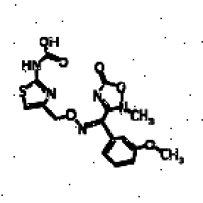 COc1cccc(C(=NOCc2csc(NC(=O)O)n2)c2nc(=O)on2C)c1